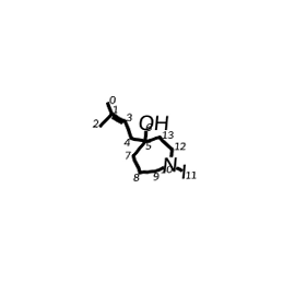 CC(C)=CCC1(O)CCCN(I)CC1